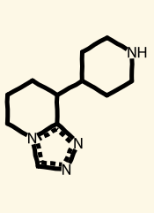 c1nnc2n1CCCC2C1CCNCC1